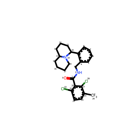 O=C(NCc1ccccc1C1CCCC2CCCCN21)c1c(Cl)ccc(C(F)(F)F)c1Cl